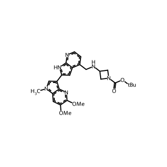 COc1cc2c(nc1OC)c(-c1cc3c(CNC4CN(C(=O)OC(C)(C)C)C4)ccnc3[nH]1)cn2C